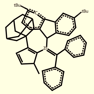 CC1C=CC(C23CC4CC(CC(C4)C2)C3)=[C]1[Zr](=[C](c1ccccc1)c1ccccc1)[CH]1c2ccc(C(C)(C)C)cc2-c2cc(C(C)(C)C)ccc21